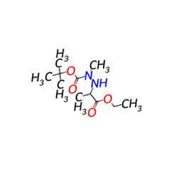 CCOC(=O)C(C)NN(C)C(=O)OC(C)(C)C